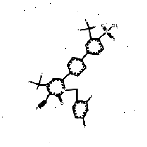 CS(=O)(=O)c1ccc(-c2ccc(-c3cc(C(F)(F)F)c(C#N)c(=O)n3Cc3ccc(F)cc3F)cc2)cc1C(F)(F)F